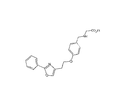 CCOC(=O)CNCc1ccc(OCCc2coc(-c3ccccc3)n2)cc1